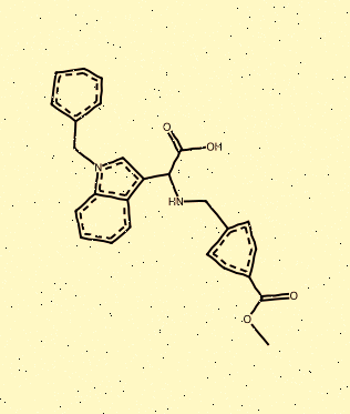 COC(=O)c1ccc(CNC(C(=O)O)c2cn(Cc3ccccc3)c3ccccc23)cc1